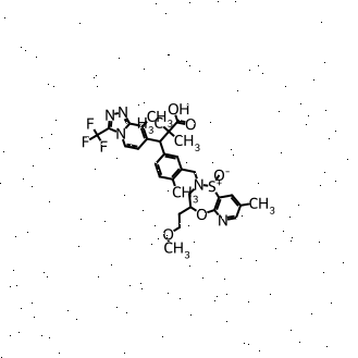 COCCC1CN(Cc2cc(C(c3ccn4c(C(F)(F)F)nnc4c3C)C(C)(C)C(=O)O)ccc2C)[S+]([O-])c2cc(C)cnc2O1